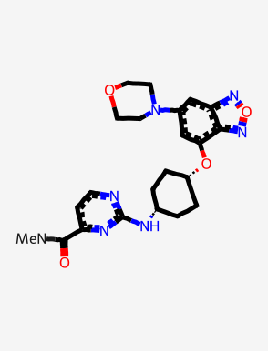 CNC(=O)c1ccnc(N[C@H]2CC[C@@H](Oc3cc(N4CCOCC4)cc4nonc34)CC2)n1